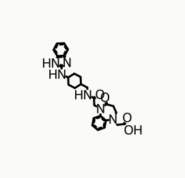 O=C(O)CN1CCC(=O)N(CC(=O)NCC2CCC(Nc3nc4ccccc4[nH]3)CC2)c2ccccc21